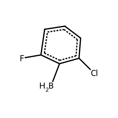 Bc1c(F)cccc1Cl